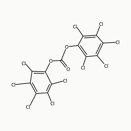 O=C(Oc1c(Cl)c(Cl)c(Cl)c(Cl)c1Cl)Oc1c(Cl)c(Cl)c(Cl)c(Cl)c1Cl